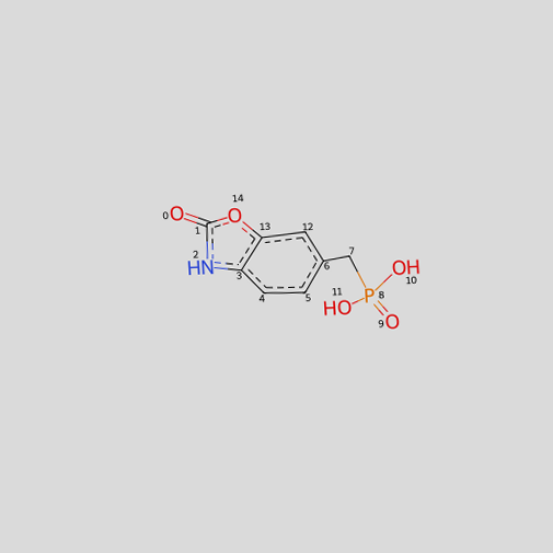 O=c1[nH]c2ccc(CP(=O)(O)O)cc2o1